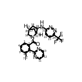 O=C(c1cccc(F)c1-c1ncccn1)N1C[C@@H]2C[C@@H](Nc3ccc(C(F)(F)F)nn3)[C@@H]1C2